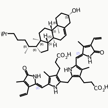 C=CC1=C(C)/C(=C/c2[nH]c(Cc3[nH]c(/C=C4\NC(=O)C(C)=C4C=C)c(C)c3CCC(=O)O)c(CCC(=O)O)c2C)NC1=O.CC(C)CCC[C@@H](C)[C@H]1CC[C@H]2[C@@H]3CC=C4C[C@@H](O)CC[C@]4(C)[C@H]3CC[C@]12C